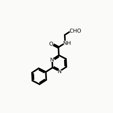 O=CCNC(=O)c1ccnc(-c2ccccc2)n1